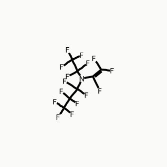 FC(F)=C(F)N(C(F)(F)C(F)(F)F)C(F)(F)C(F)(F)C(F)(F)F